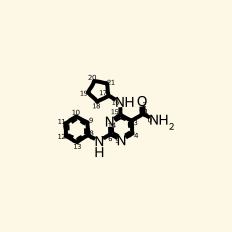 NC(=O)c1cnc(Nc2cc[c]cc2)nc1NC1CCCC1